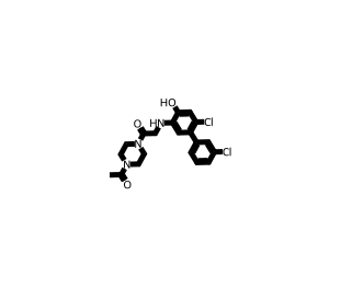 CC(=O)N1CCN(C(=O)CNc2cc(-c3cccc(Cl)c3)c(Cl)cc2O)CC1